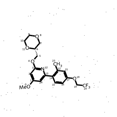 COc1cc(OC[C@H]2COCCO2)nc(-c2ccc(OCC(F)(F)F)cc2C)c1